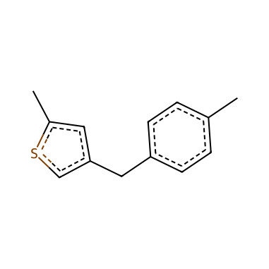 Cc1ccc(Cc2csc(C)c2)cc1